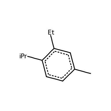 CCc1cc(C)ccc1C(C)C